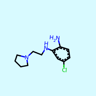 Nc1ccc(Cl)cc1NCCN1CCCC1